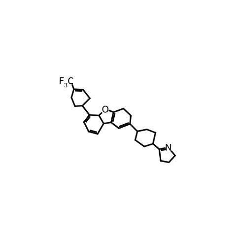 FC(F)(F)C1=CCC(C2=CC=CC3C4=C(CCC(C5CCC(C6=NCCC6)CC5)=C4)OC23)CC1